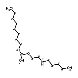 CCCCCCCCOP(O)OCCNCCCCO